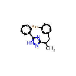 CC(Cc1cccc(Br)c1)c1n[nH]c(-c2ccccc2)n1